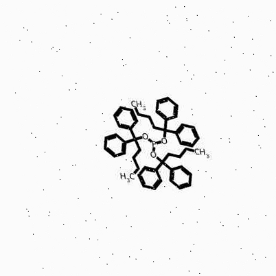 CCCCC(OP(OC(CCCC)(c1ccccc1)c1ccccc1)OC(CCCC)(c1ccccc1)c1ccccc1)(c1ccccc1)c1ccccc1